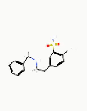 COc1ccc(C[C@@H](C)N[C@H](C)c2ccccc2)cc1S(N)(=O)=O